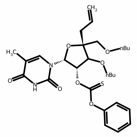 C=CC[C@]1(COCCCC)O[C@@H](n2cc(C)c(=O)[nH]c2=O)[C@@H](OC(=S)Oc2ccccc2)C1OCCCC